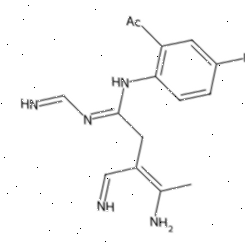 CC(=O)c1cc(F)ccc1N/C(C/C(C=N)=C(\C)N)=N\C=N